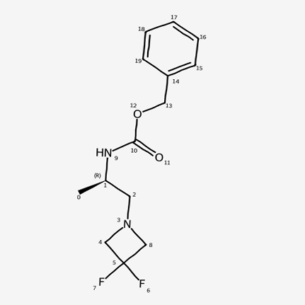 C[C@H](CN1CC(F)(F)C1)NC(=O)OCc1ccccc1